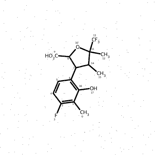 Cc1c(F)ccc(C2C(C(=O)O)OC(C)(C(F)(F)F)C2C)c1O